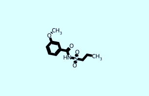 CCCS(=O)(=O)NC(=O)c1cccc(OC)c1